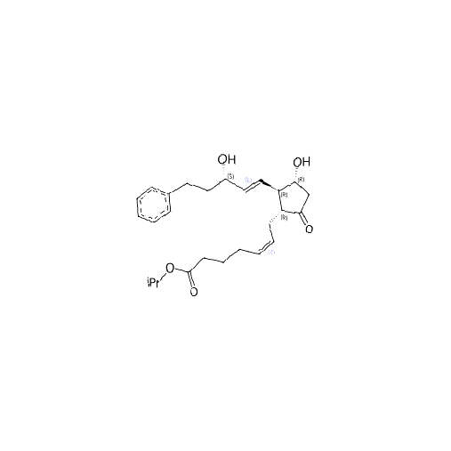 CC(C)OC(=O)CCC/C=C\C[C@H]1C(=O)C[C@@H](O)[C@@H]1/C=C/[C@@H](O)CCc1ccccc1